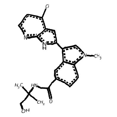 Cn1cc(-c2cc3c(Cl)ccnc3[nH]2)c2cc(C(=O)NC(C)(C)CO)ccc21